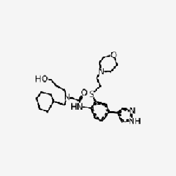 O=C(Nc1ccc(-c2cn[nH]c2)cc1SCCN1CCOCC1)N(CCCO)CC1CCCCC1